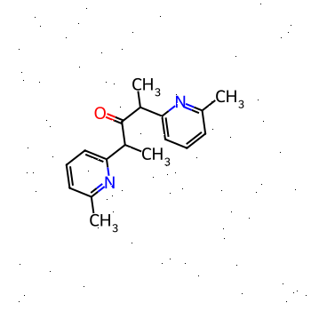 Cc1cccc(C(C)C(=O)C(C)c2cccc(C)n2)n1